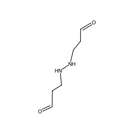 O=CCCNNCCC=O